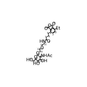 CCc1ccc(CCCC(=O)NCCOCCOC2OC(CO)C(O)C(O)C2NC(C)=O)c2c1C(=O)OC2=O